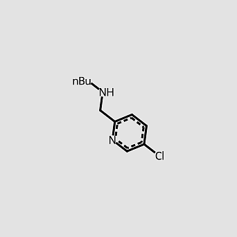 CCCCNCc1ccc(Cl)cn1